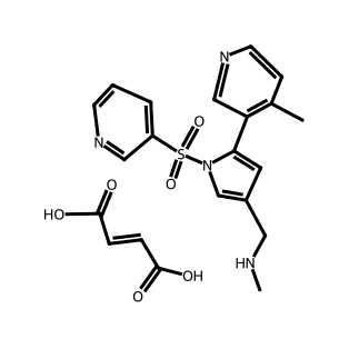 CNCc1cc(-c2cnccc2C)n(S(=O)(=O)c2cccnc2)c1.O=C(O)C=CC(=O)O